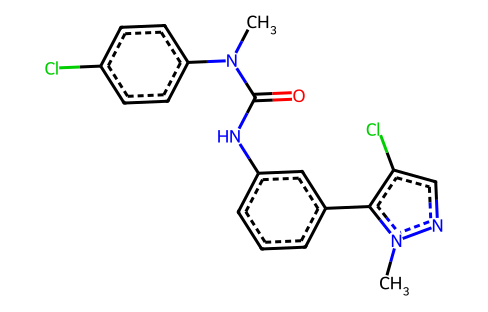 CN(C(=O)Nc1cccc(-c2c(Cl)cnn2C)c1)c1ccc(Cl)cc1